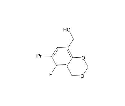 CC(C)c1cc(CO)c2c(c1F)COCO2